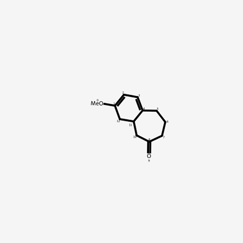 COC1=CC=C2CCCC(=O)CC2C1